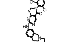 CCN1CCc2ccc(Nc3ncc4c(n3)SCN(c3c(Cl)cccc3Cl)C4=O)cc2C1